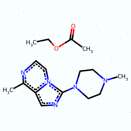 CCOC(C)=O.Cc1nccn2c(N3CCN(C)CC3)ncc12